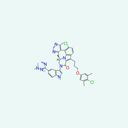 C=N/C(=N\N(C)C)c1ccc2c(c1)c(N1C[C@@H](C)n3c(c(CCCOc4cc(C)c(Cl)c(C)c4)c4ccc(Cl)c(-c5c(C)ncnc5C)c43)C1=O)cn2C